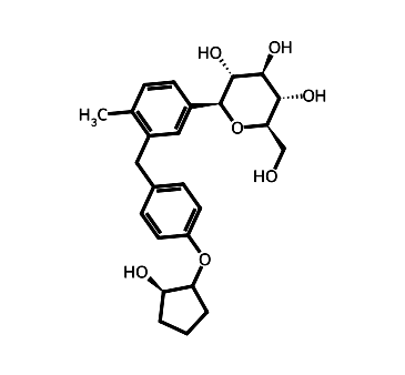 Cc1ccc([C@@H]2O[C@H](CO)[C@@H](O)[C@H](O)[C@H]2O)cc1Cc1ccc(OC2CCC[C@H]2O)cc1